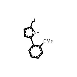 COc1ccccc1-c1ccc(Cl)[nH]1